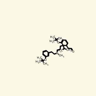 CC(C)C1(CCCN(C)CCc2cccc(OC(C)(C)C)c2)C(OC(C)(C)C)=CC=CC1CC=O